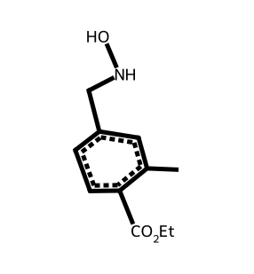 CCOC(=O)c1ccc(CNO)cc1C